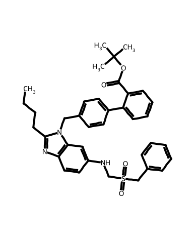 CCCCc1nc2ccc(NCS(=O)(=O)Cc3ccccc3)cc2n1Cc1ccc(-c2ccccc2C(=O)OC(C)(C)C)cc1